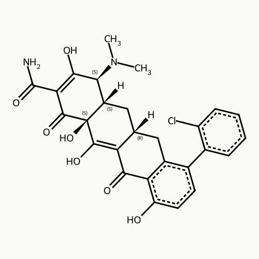 CN(C)[C@@H]1C(O)=C(C(N)=O)C(=O)[C@@]2(O)C(O)=C3C(=O)c4c(O)ccc(-c5ccccc5Cl)c4C[C@H]3C[C@@H]12